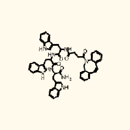 NC(=O)C(Cc1c[nH]c2ccccc12)NC(=O)C(Cc1c[nH]c2ccccc12)NC(=O)C(Cc1c[nH]c2ccccc12)NC(=O)CCC(=O)N1Cc2ccccc2C#Cc2ccccc21